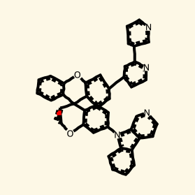 c1cncc(-c2cc(-c3ccc4c(c3)Oc3ccccc3C43c4ccccc4Oc4cc(-n5c6ccccc6c6ccncc65)ccc43)ccn2)c1